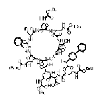 CC(C)C[C@@H]1NC(=O)[C@@H](Cc2ccccc2)NC(=O)[C@H](CCNC(=O)OC(C)(C)C)NC(=O)[C@@H](NC(=O)[C@H](CCNC(=O)OC(C)(C)C)NC(=O)[C@@H](NC(=O)[C@H](CCNC(=O)OC(C)(C)C)OC(=O)C(F)c2ccc(-c3ccccc3)cc2)[C@@H](C)O)CCNC(=O)[C@H]([C@@H](C)O)NC(=O)[C@H](CCNC(=O)OC(C)(C)C)NC(=O)[C@H](CCNC(=O)OC(C)(C)C)NC1=O